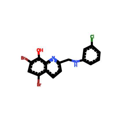 Oc1c(Br)cc(Br)c2ccc(CNc3cccc(Cl)c3)nc12